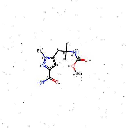 CCn1nc(C(N)=O)cc1CC(C)(C)NC(=O)OC(C)(C)C